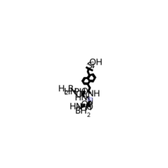 BNPOC(=O)/N=C(/NCCc1cccc2c(CC(C)(C)[Si](C)(C)O)cccc12)NC(=O)OPNB